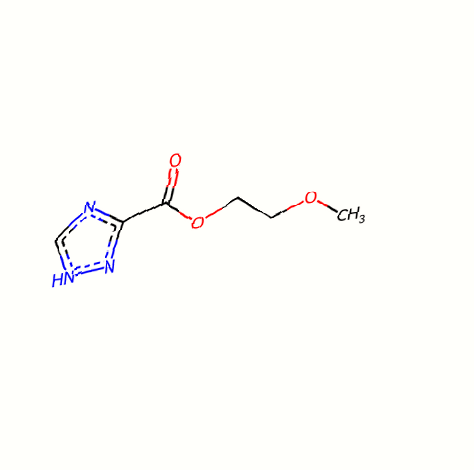 COCCOC(=O)c1nc[nH]n1